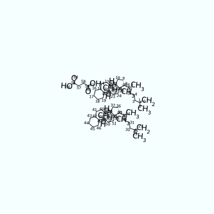 C=C(C)CCC[C@@H](C)[C@H]1CC[C@H]2[C@@H]3CCC4CCCC[C@]4(C)[C@H]3CC[C@]12C.C=C(C)CCC[C@@H](C)[C@H]1CC[C@H]2[C@@H]3CCC4CCCC[C@]4(C)[C@H]3CC[C@]12C.O=C(O)CCC(=O)O